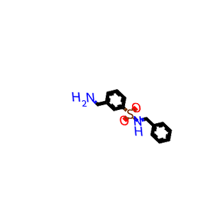 NCc1cccc(S(=O)(=O)NCc2ccccc2)c1